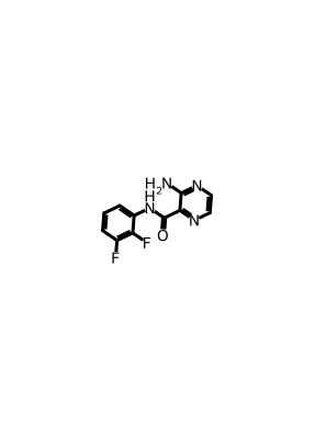 Nc1nccnc1C(=O)Nc1cccc(F)c1F